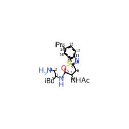 CCC(C)C(CN)NC(=O)C(Cc1nc2ccc(C(C)C)cc2s1)NC(C)=O